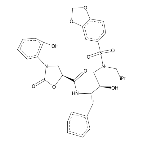 CC(C)CN(C[C@@H](O)[C@H](Cc1ccccc1)NC(=O)[C@@H]1CN(c2ccccc2O)C(=O)O1)S(=O)(=O)c1ccc2c(c1)OCO2